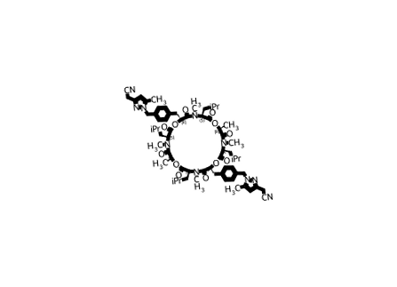 Cc1cc(CC#N)nn1Cc1ccc(C[C@H]2OC(=O)[C@H](CC(C)C)N(C)C(=O)[C@@H](C)OC(=O)[C@H](CC(C)C)N(C)C(=O)[C@@H](Cc3ccc(Cn4nc(CC#N)cc4C)cc3)OC(=O)[C@H](CC(C)C)N(C)C(=O)[C@@H](C)OC(=O)[C@H](CC(C)C)N(C)C2=O)cc1